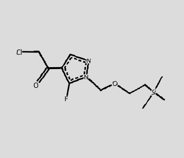 C[Si](C)(C)CCOCn1ncc(C(=O)CCl)c1F